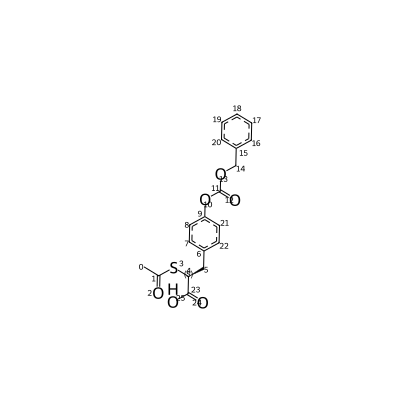 CC(=O)S[C@@H](Cc1ccc(OC(=O)OCc2ccccc2)cc1)C(=O)O